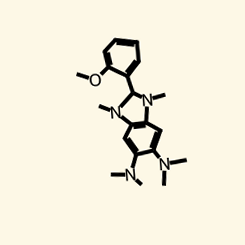 COc1ccccc1C1N(C)c2cc(N(C)C)c(N(C)C)cc2N1C